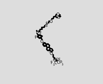 CN(CCCCCCSSCCOCCCC1COC(C)(C)OC1)Cc1c(F)cc(COc2ccc3c(c2)CCC2C3CC[C@@]3(C)C2CC[C@@H]3OCCCOC(C(F)(F)F)(C(F)(F)F)C(F)(F)F)cc1F